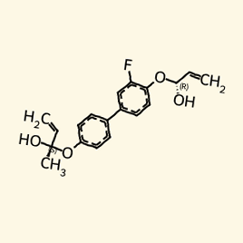 C=C[C@H](O)Oc1ccc(-c2ccc(O[C@](C)(O)C=C)cc2)cc1F